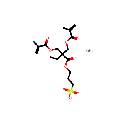 C=C(C)C(=O)OCC(CC)(COC(=O)C(=C)C)C(=O)OCCCS(=O)(=O)O.[CaH2]